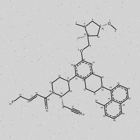 CO[C@H]1CN(C)[C@](C)(COc2nc3c(c(N4CCN(C(=O)/C=C/CF)[C@@H](CC#N)C4)n2)CCN(c2cccc4cccc(C)c24)C3)C1